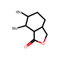 CC(C)(C)C1CCC2COC(=O)C2C1C(C)(C)C